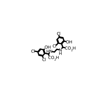 O=C(O)C(NCCNC(C(=O)O)c1c(O)cc(Cl)cc1Cl)c1c(O)cc(Cl)cc1Cl